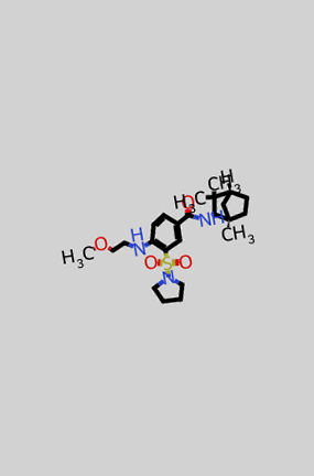 COCCNc1ccc(C(=O)NC2C(C)(C)[C@@H]3CC[C@]2(C)C3)cc1S(=O)(=O)N1CCCC1